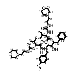 COc1ccc(CN(CC(O)C(Cc2ccccc2)NC(=O)[C@@H](NC(=O)NCCN2CCOCC2)C(C)C)NC(=O)[C@@H](NC(=O)NCCN2CCOCC2)C(C)C)cc1